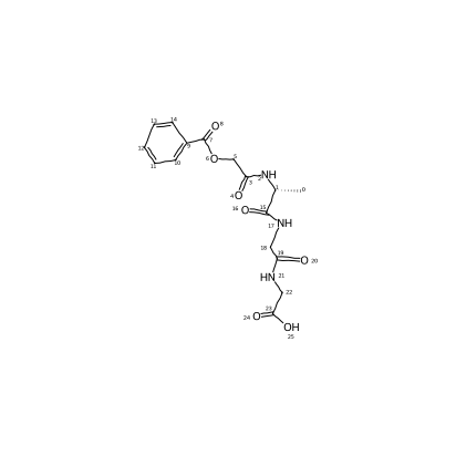 C[C@@H](NC(=O)COC(=O)c1ccccc1)C(=O)NCC(=O)NCC(=O)O